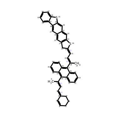 C/C(=C\C=C1\C=CCCC1)c1c2ccccc2c(/C(C)=C/C=C2\Cc3cc4cc5c(cc4cc3S2)sc2ccccc25)c2ccccc12